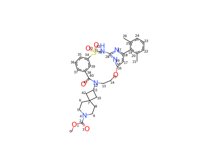 COC(=O)N1CCC2(CC1)CC(N1CCOc3cc(-c4c(C)cccc4C)nc(n3)NS(=O)(=O)c3cccc(c3)C1=O)C2